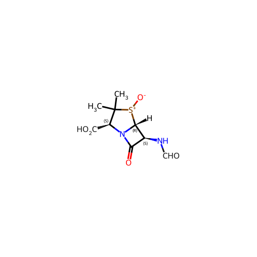 CC1(C)[C@H](C(=O)O)N2C(=O)[C@H](NC=O)[C@H]2[S+]1[O-]